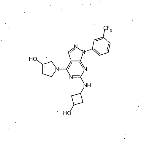 OC1CC(Nc2nc(N3CCC(O)C3)c3cnn(-c4cccc(C(F)(F)F)c4)c3n2)C1